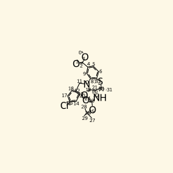 COC(=O)c1ccc2c(c1)N(Cc1ccc(Cl)cc1)C(=O)[C@@H](NC(=O)OC(C)(C)C)[C@@H](C)S2